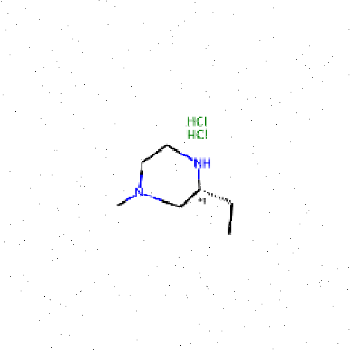 CC[C@@H]1CN(C)CCN1.Cl.Cl